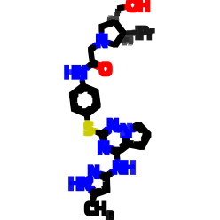 Cc1cc(Nc2nc(Sc3ccc(NC(=O)CN4C[C@H](CO)[C@@H](C(C)C)C4)cc3)nn3cccc23)n[nH]1